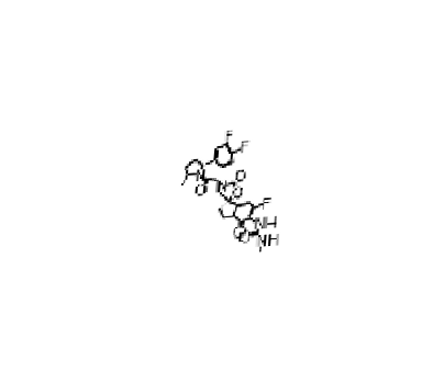 CNC(=O)NC1=C(F)C=C2C(CC[C@@]23CN(CC(=O)N2[C@@H](C)CC[C@H]2c2ccc(F)c(F)c2)C(=O)O3)C1=O